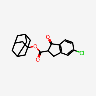 O=C(OC12CC3CC(CC(C3)C1)C2)C1Cc2cc(Cl)ccc2C1=O